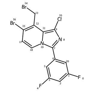 Fc1cc(F)cc(-c2nc(Cl)c3c(CBr)c(Br)ccn23)c1